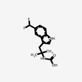 CC(C)(Cc1c[nH]c2ccc(C(F)F)cc12)NC(=O)O